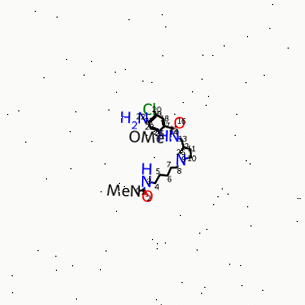 CNC(=O)NCCCCCN1CCC(CNC(=O)c2cc(Cl)c(N)cc2OC)C1